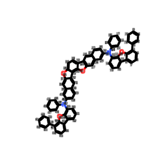 c1ccc(-c2cccc3c2oc2c(N(c4ccccc4)c4ccc5cc6c(cc5c4)oc4c6ccc5oc6cc7cc(N(c8ccccc8)c8cccc9c8oc8c(-c%10ccccc%10)cccc89)ccc7cc6c54)cccc23)cc1